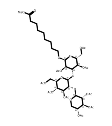 COC(=O)CCCCCCCCO[C@H]1O[C@H](COC(C)=O)[C@@H](OC(C)=O)[C@H](O[C@@H]2O[C@H](COC(C)=O)[C@@H](OC(C)=O)[C@H](OC(C)=O)[C@H]2O[C@@H]2OC[C@@H](OC(C)=O)[C@H](OC(C)=O)[C@H]2OC(C)=O)[C@H]1OC(C)=O